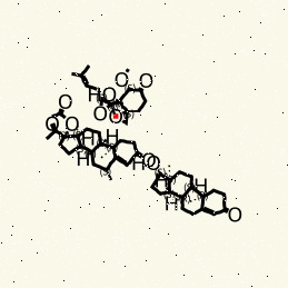 CC(=O)O[C@]1(C(C)=O)CC[C@H]2[C@@H]3C[C@H](C)C4=CC(=O)CC[C@]4(C)[C@H]3CC[C@@]21C.CO[C@@H]1C(=O)CC[C@]2(CO2)[C@@]1(O)[C@]1(C)O[C@@H]1CC=C(C)C.C[C@]12CC[C@H]3[C@@H](CCC4=CC(=O)CC[C@@]43C)[C@@H]1CC[C@@H]2O